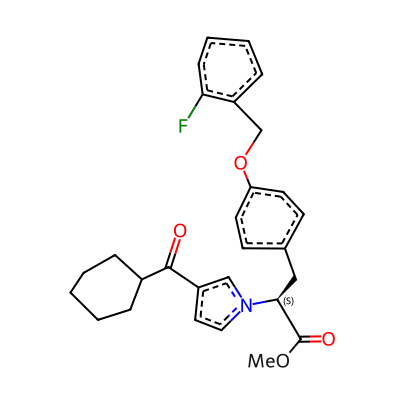 COC(=O)[C@H](Cc1ccc(OCc2ccccc2F)cc1)n1ccc(C(=O)C2CCCCC2)c1